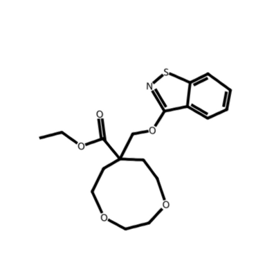 CCOC(=O)C1(COc2nsc3ccccc23)CCOCCOCC1